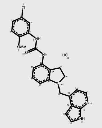 COc1ccc(Cl)cc1NC(=O)Nc1cccc2c1CCN2Cc1ccnc2[nH]ccc12.Cl